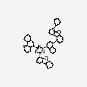 c1ccc(-c2cccc3c2oc2cccc(-c4ccc(-c5nc(-c6cc7ccccc7c7ccccc67)nc(-c6cccc7c6oc6ccccc67)n5)c5ccccc45)c23)cc1